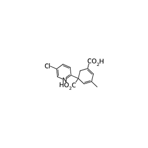 CC1=CC(C(=O)O)(c2ccc(Cl)cn2)CC(C(=O)O)=C1